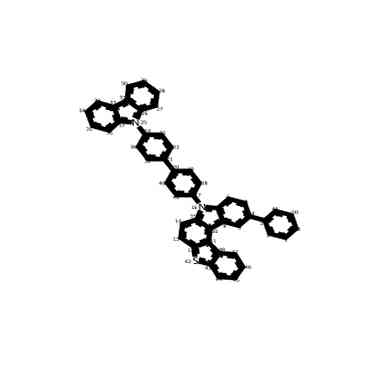 c1ccc(-c2ccc3c(c2)c2c4c(ccc2n3-c2ccc(-c3ccc(-n5c6ccccc6c6ccccc65)cc3)cc2)sc2ccccc24)cc1